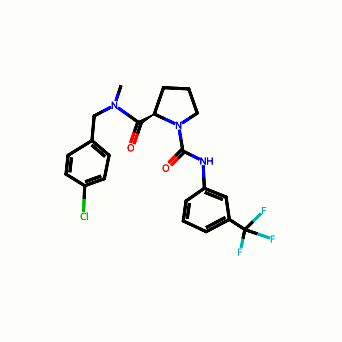 CN(Cc1ccc(Cl)cc1)C(=O)[C@H]1CCCN1C(=O)Nc1cccc(C(F)(F)F)c1